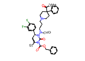 CCC1=CC(c2ccc(F)c(F)c2)N(N(C=O)CCCN2CCC(C(=O)OC)(c3ccccc3)CC2)C(=O)N1C(=O)OCc1ccccc1